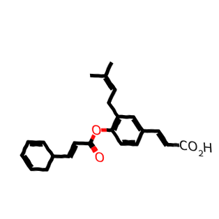 CC(C)=CCc1cc(C=CC(=O)O)ccc1OC(=O)C=CC1C=CC=CC1